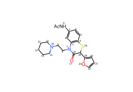 CC(=O)Nc1ccc2c(c1)N(CCN1CCCCC1)C(=O)C(c1ccco1)S2